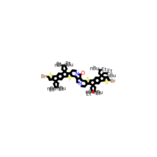 CCCCC(CC)CC1(CC(CC)CCCC)c2cc3c(cc2-c2sc(Br)cc21)C(CC(CC)CCCC)(CC(CC)CCCC)c1c-3sc2c1C=CN1CC3=C4c5sc6c(c5C=CN4C(=O)C3=C21)C(CC(CC)CCCC)(CC(CC)CCCC)c1cc2c(cc1-6)C(CC(CC)CCCC)(CC(CC)CCCC)c1cc(Br)sc1-2